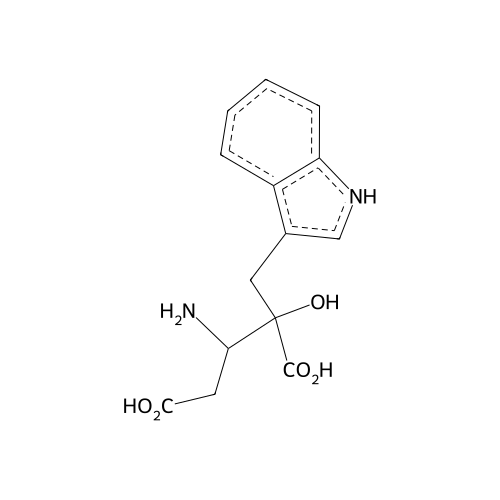 NC(CC(=O)O)C(O)(Cc1c[nH]c2ccccc12)C(=O)O